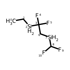 CC[SiH2]C(F)(F)C[SiH2]C(F)F